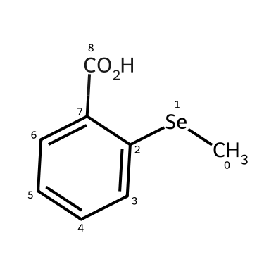 C[Se]c1ccccc1C(=O)O